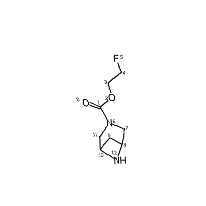 O=C(OCCF)N1CC2CC(C1)N2